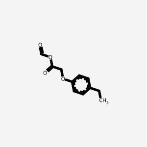 CCc1ccc(OCC(=O)OC=O)cc1